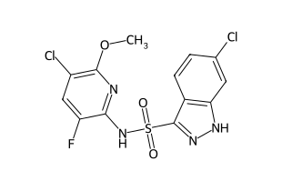 COc1nc(NS(=O)(=O)c2n[nH]c3cc(Cl)ccc23)c(F)cc1Cl